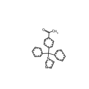 CC(=O)c1ccc(C(c2ccccc2)(c2ccccc2)n2ccnc2)cc1